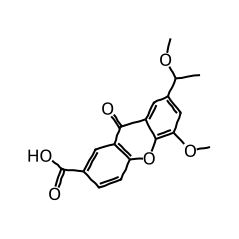 COc1cc(C(C)OC)cc2c(=O)c3cc(C(=O)O)ccc3oc12